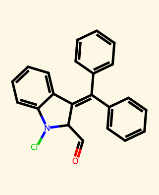 O=CC1C(=C(c2ccccc2)c2ccccc2)c2ccccc2N1Cl